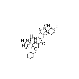 CN1N=C2CCN(C(=O)[C@@H](COCc3ccccc3)NC(=O)C(C)(C)N)CC2(Cc2ccc(F)cc2)C1=O